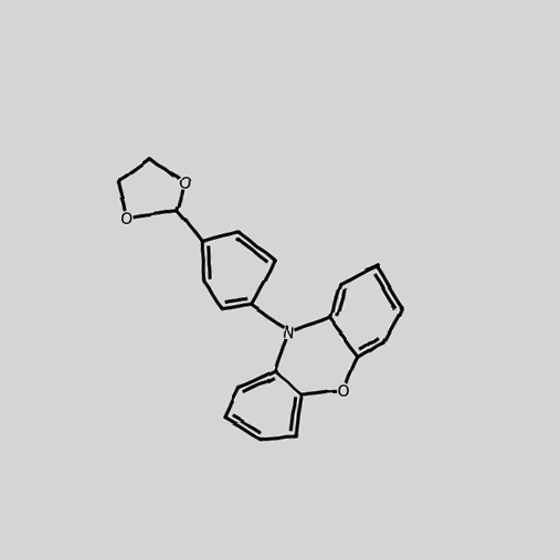 c1ccc2c(c1)Oc1ccccc1N2c1ccc(C2OCCO2)cc1